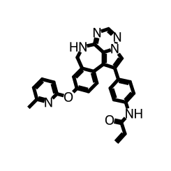 C=CC(=O)Nc1ccc(-c2cn3ncnc4c3c2-c2ccc(Oc3cccc(C)n3)cc2CN4)cc1